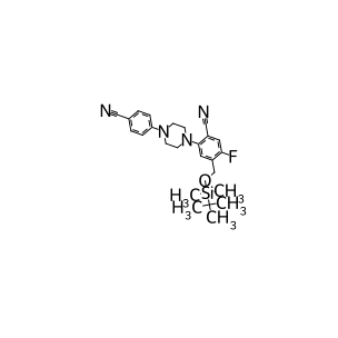 CC(C)(C)[Si](C)(C)OCc1cc(N2CCN(c3ccc(C#N)cc3)CC2)c(C#N)cc1F